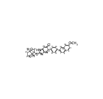 COc1ccc2ccc(-c3ccc(-c4nc5nc(OC6CO[C@@H]7CCO[C@H]67)[nH]c5cc4Cl)cc3)cc2c1